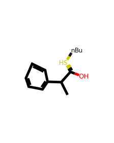 CCCC[SH]=C(O)C(C)c1ccccc1